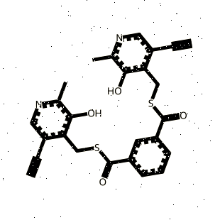 C#Cc1cnc(C)c(O)c1CSC(=O)c1cccc(C(=O)SCc2c(C#C)cnc(C)c2O)c1